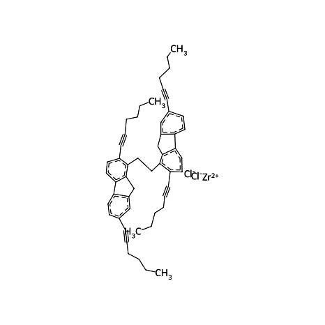 CCCCC#Cc1ccc2c(c1)Cc1c-2ccc(C#CCCCC)c1CCc1c(C#CCCCC)ccc2c1Cc1cc(C#CCCCC)ccc1-2.[Cl-].[Cl-].[Zr+2]